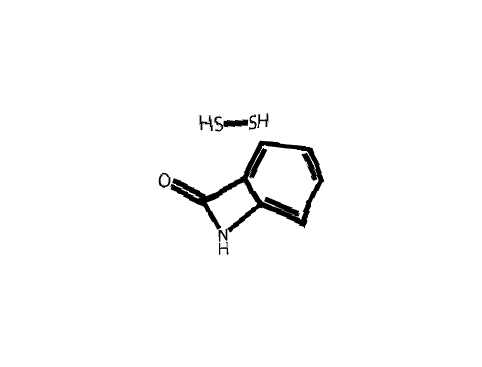 O=C1Nc2ccccc21.SS